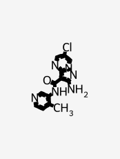 Cc1ccncc1NC(=O)c1c(N)nn2cc(Cl)cnc12